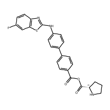 O=C(OC(=O)[C@@H]1CCCN1)c1ccc(-c2ccc(Nc3nc4ccc(F)cc4s3)cc2)cc1